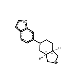 c1cc2ncc(N3CC[C@H]4CNC[C@H]4C3)cc2o1